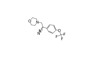 [N-]=[N+]=C(CN1CCOCC1)c1ccc(OC(F)(F)F)cc1